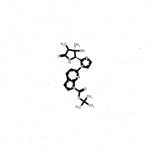 CC1C(=O)N[C@H](c2nccn2-c2ccc3ccn(C(=O)OC(C)(C)C)c3n2)[C@]1(C)O